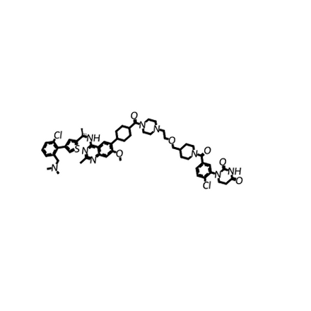 COc1cc2nc(C)nc(N[C@H](C)c3cc(-c4c(Cl)cccc4CN(C)C)cs3)c2cc1C1CCC(C(=O)N2CCN(CCOCC3CCN(C(=O)c4ccc(Cl)c(N5CCC(=O)NC5=O)c4)CC3)CC2)CC1